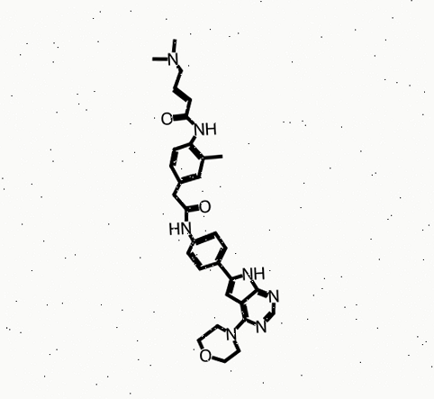 Cc1cc(CC(=O)Nc2ccc(-c3cc4c(N5CCOCC5)ncnc4[nH]3)cc2)ccc1NC(=O)/C=C/CN(C)C